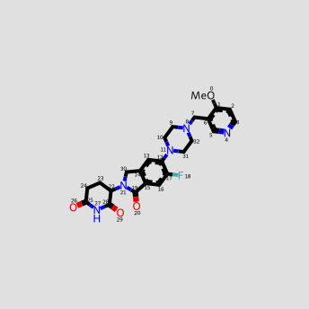 COc1ccncc1CN1CCN(c2cc3c(cc2F)C(=O)N(C2CCC(=O)NC2=O)C3)CC1